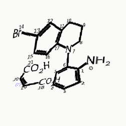 Nc1ccccc1N1CCCc2cc(Br)ccc21.O=C(O)/C=C\C(=O)O